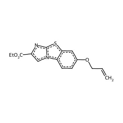 C=CCOc1ccc2c(c1)sc1nc(C(=O)OCC)cn12